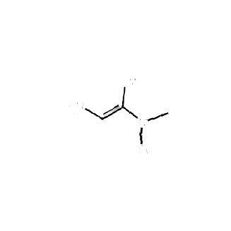 CCN(C)/C(=C/[N+](=O)[O-])SC